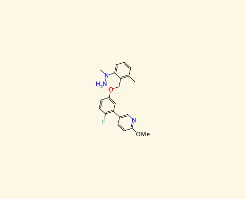 COc1ccc(-c2cc(OCc3c(C)cccc3N(C)N)ccc2F)cn1